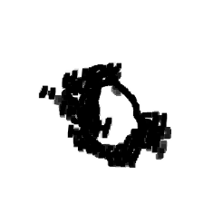 CCCNC(=O)[C@H]1[C@@H]2C[C@@H](O[C@@H]3O[C@H](C)[C@@H](O)[C@H](N)[C@@H]3O)/C=C/C=C/C=C/C=C/C=C/C=C/C=C/[C@H](C)[C@@H](O)[C@@H](C)[C@H](C)OC(=O)C[C@H](O)C[C@H](O)CC[C@@H](O)[C@H](O)C[C@H](O)C[C@](O)(C[C@@H]1O)O2